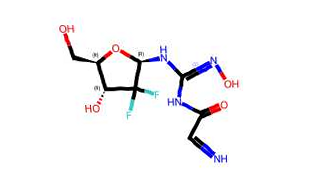 N=CC(=O)N/C(=N\O)N[C@@H]1O[C@H](CO)[C@@H](O)C1(F)F